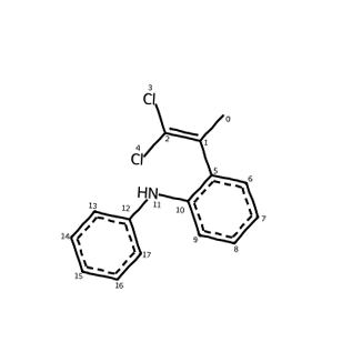 CC(=C(Cl)Cl)c1ccccc1Nc1ccccc1